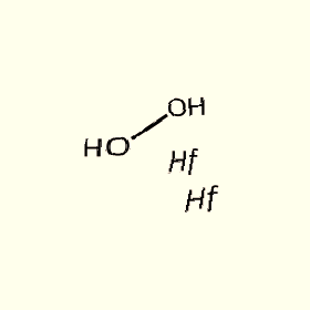 OO.[Hf].[Hf]